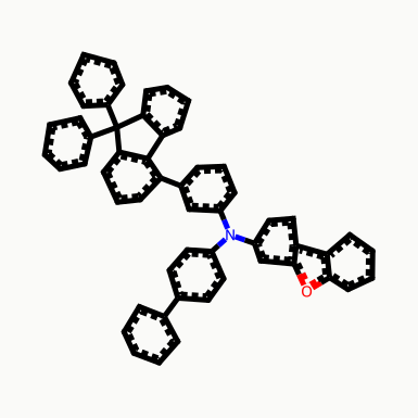 c1ccc(-c2ccc(N(c3cccc(-c4cccc5c4-c4ccccc4C5(c4ccccc4)c4ccccc4)c3)c3ccc4c(c3)oc3ccccc34)cc2)cc1